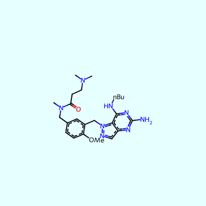 CCCCNc1nc(N)nc2cnn(Cc3cc(CN(C)C(=O)CCN(C)C)ccc3OC)c12